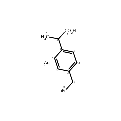 CC(C)Cc1ccc(C(C)C(=O)O)cc1.[Ag]